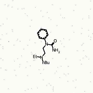 CCCCN(CC)CCN(C(N)=O)c1ccccc1